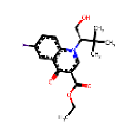 CCOC(=O)c1cn([C@@H](CO)C(C)(C)C)c2ccc(I)cc2c1=O